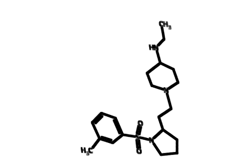 CCNC1CCN(CCC2CCCN2S(=O)(=O)c2cccc(C)c2)CC1